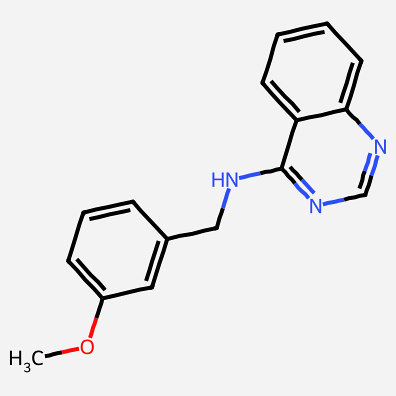 COc1cccc(CNc2ncnc3ccccc23)c1